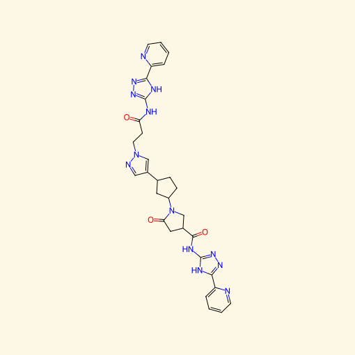 O=C(CCn1cc(C2CCC(N3CC(C(=O)Nc4nnc(-c5ccccn5)[nH]4)CC3=O)C2)cn1)Nc1nnc(-c2ccccn2)[nH]1